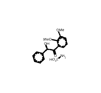 COc1cccc(C(=O)C(O)c2ccccc2)c1OC.NC(=O)O